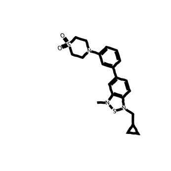 CN1SN(CC2CC2)c2ccc(-c3cccc(N4CCS(=O)(=O)CC4)c3)cc21